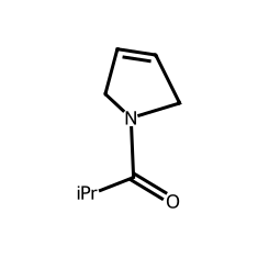 CC(C)C(=O)N1CC=CC1